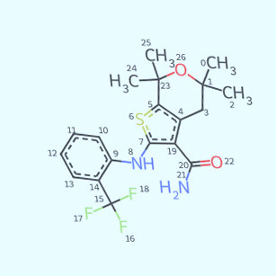 CC1(C)Cc2c(sc(Nc3ccccc3C(F)(F)F)c2C(N)=O)C(C)(C)O1